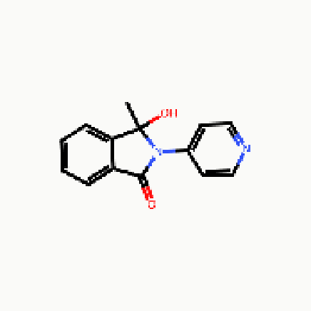 CC1(O)c2ccccc2C(=O)N1c1ccncc1